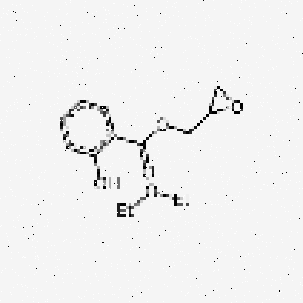 CCOCC.O=C(OCC1CO1)c1ccccc1O